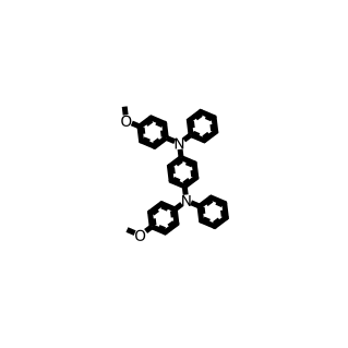 COc1ccc(N(c2ccccc2)c2ccc(N(c3ccccc3)c3ccc(OC)cc3)cc2)cc1